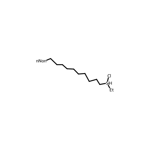 CCCCCCCCCCCCCCCCCCC[SiH](Cl)CC